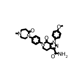 COc1ccc(-n2nc(C(N)=O)c3c2C(=O)N(c2ccc(N4CCN(C)CCC4=O)cc2)CC3)cc1